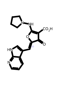 O=C(O)C1=C(NN2CCCC2)O/C(=C\c2c[nH]c3ncccc23)C1=O